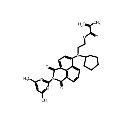 C=C(C)C(=O)OCCN(c1ccc2c3c(cccc13)C(=O)N(c1nc(C)cc(C)n1)C2=O)C1CCCCC1